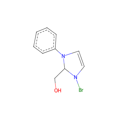 OCC1N(Br)C=CN1c1ccccc1